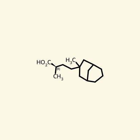 C[C@H](CCC1(C)CC2CCCC(C2)C1)C(=O)O